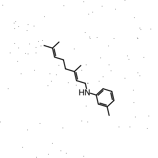 CC(C)=CCC/C(C)=C/[CH]Nc1cccc(C)c1